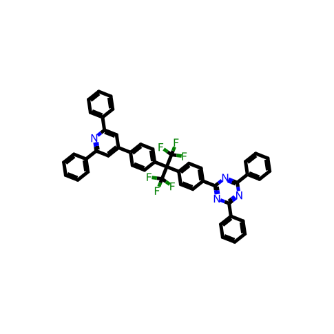 FC(F)(F)C(c1ccc(-c2cc(-c3ccccc3)nc(-c3ccccc3)c2)cc1)(c1ccc(-c2nc(-c3ccccc3)nc(-c3ccccc3)n2)cc1)C(F)(F)F